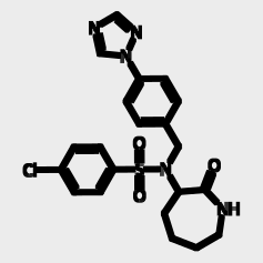 O=C1NCCCCC1N(Cc1ccc(-n2cncn2)cc1)S(=O)(=O)c1ccc(Cl)cc1